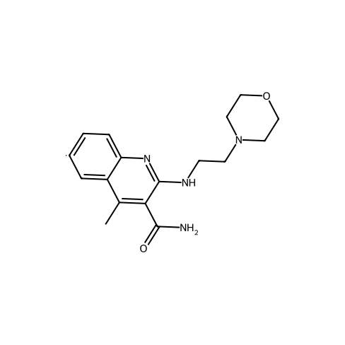 Cc1c(C(N)=O)c(NCCN2CCOCC2)nc2cc[c]cc12